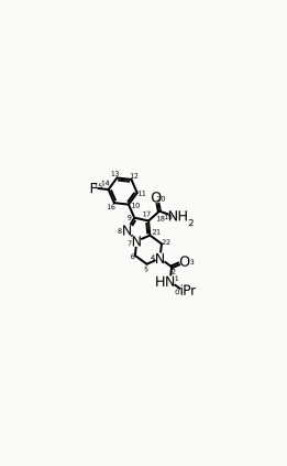 CC(C)NC(=O)N1CCn2nc(-c3cccc(F)c3)c(C(N)=O)c2C1